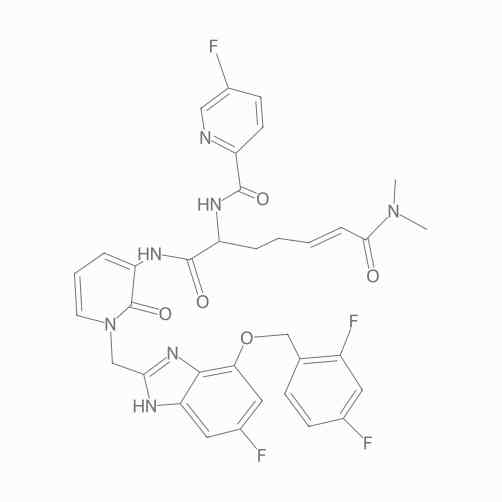 CN(C)C(=O)/C=C/CCC(NC(=O)c1ccc(F)cn1)C(=O)Nc1cccn(Cc2nc3c(OCc4ccc(F)cc4F)cc(F)cc3[nH]2)c1=O